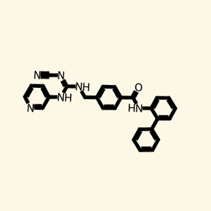 N#C/N=C(/NCc1ccc(C(=O)Nc2ccccc2-c2ccccc2)cc1)Nc1cccnc1